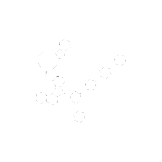 C=C1/C=C\C=C/Cc2c(oc3ccccc23)/C=C\1c1ccc2c(c1)c1c3ccccc3ccc1n2-c1nc(-c2ccccc2)nc(-c2ccc(-c3ccc(-c4ccccc4)cc3)cc2)n1